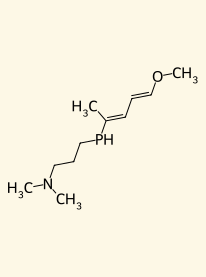 CO/C=C/C=C(\C)PCCCN(C)C